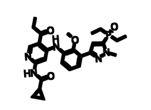 CCC(=O)c1cnc(NC(=O)C2CC2)cc1Nc1cccc(-c2cc(P(=O)(CC)CC)n(C)n2)c1OC